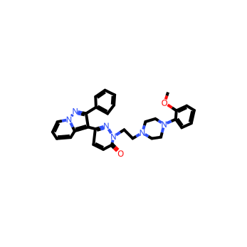 COc1ccccc1N1CCN(CCn2nc(-c3c(-c4ccccc4)nn4ccccc34)ccc2=O)CC1